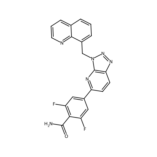 NC(=O)c1c(F)cc(-c2ccc3nnn(Cc4cccc5cccnc45)c3n2)cc1F